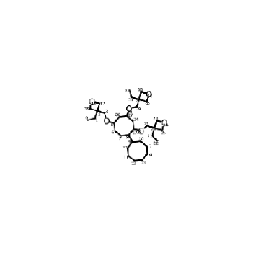 CCC1(COC2CCC(C3CCCCCCC3)C(OCC3(CC)COC3)CC(OCC3(CC)COC3)C2)COC1